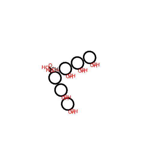 CC(=CC1CCCCCCCCCCCCCCCC1(O)O)C(=O)O.OC1(O)CCCCCCCCCCCCCCCC1.OC1(O)CCCCCCCCCCCCCCCC1.OC1(O)CCCCCCCCCCCCCCCC1.OC1(O)CCCCCCCCCCCCCCCC1.OC1(O)CCCCCCCCCCCCCCCC1